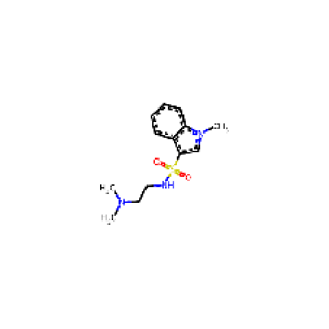 CN(C)CCNS(=O)(=O)c1cn(C)c2ccccc12